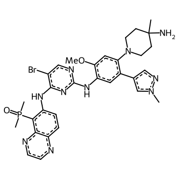 COc1cc(N2CCC(C)(N)CC2)c(-c2cnn(C)c2)cc1Nc1ncc(Br)c(Nc2ccc3nccnc3c2P(C)(C)=O)n1